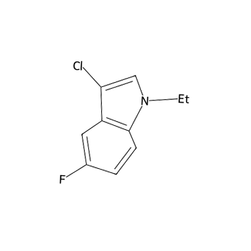 CCn1cc(Cl)c2cc(F)ccc21